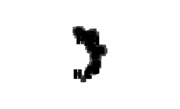 CC1C=Cc2c(sc3ccc(-c4ccc5c(c4)c4ccccc4n5-c4ccc(CNN/C(=N\Cc5ccccc5)c5ccccc5)cc4)cc23)C1